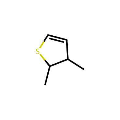 CC1C=CSC1C